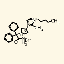 CCCCC[n+]1ccn([C@H]2CC[C@@H](C(C(N)=O)(c3ccccc3)c3ccccc3)C2)c1C.[Br-]